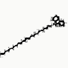 CCC=CCCCCCCCCCC=CCCCCCCCCCCCO[Si](c1ccccc1)(c1ccccc1)C(C)(C)C